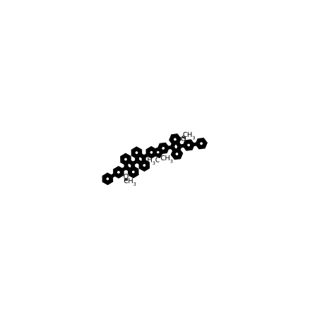 COc1cccc2c(-c3ccc4c(c3)C(C)(C)c3cc(-c5c6ccccc6c(-c6c7ccccc7c(-c7ccc(-c8ccccc8)cc7)c7c(OC)cccc67)c6ccccc56)ccc3-4)c3ccccc3c(-c3ccc(-c4ccccc4)cc3)c12